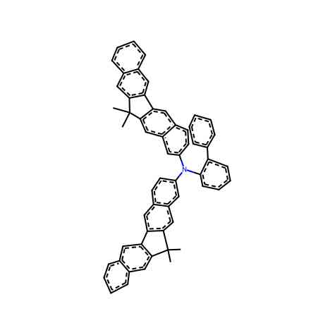 CC1(C)c2cc3ccccc3cc2-c2cc3ccc(N(c4ccc5cc6c(cc5c4)C(C)(C)c4cc5ccccc5cc4-6)c4ccccc4-c4ccccc4)cc3cc21